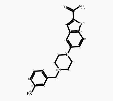 NC(=O)c1cc2cc(N3CCN(Cc4cccc(C(F)(F)F)c4)CC3)ccc2o1